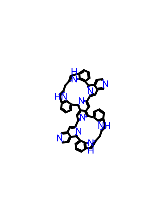 c1cc2c3[nH]c(cc3c1)Cc1cc3cccc(c3[nH]1)-c1nc(cc3c4nc(cc13)-c1cc3cnccc3c(n1)-c1cccc3cc([nH]c13)Cc1cc3cccc-4c3[nH]1)-c1cc3cnccc3c-2n1